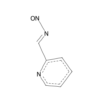 O=NN=Cc1ccccn1